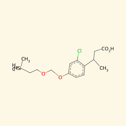 CC(CC(=O)O)c1ccc(OCOCC[SiH](C)C)cc1Cl